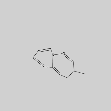 CC1C=NN2C=CC=CC2=CC1